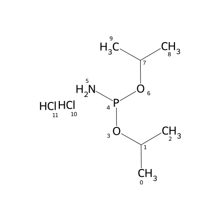 CC(C)OP(N)OC(C)C.Cl.Cl